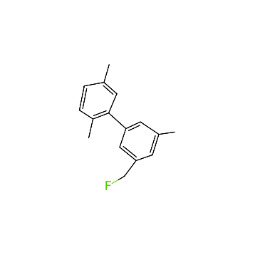 Cc1cc(CF)cc(-c2cc(C)ccc2C)c1